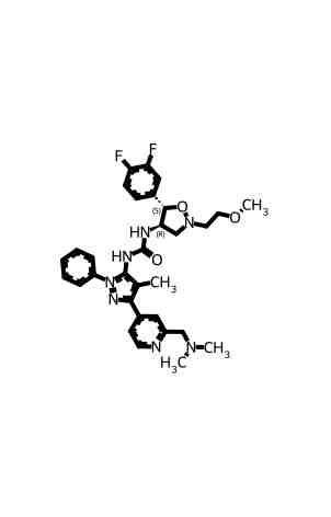 COCCN1C[C@@H](NC(=O)Nc2c(C)c(-c3ccnc(CN(C)C)c3)nn2-c2ccccc2)[C@H](c2ccc(F)c(F)c2)O1